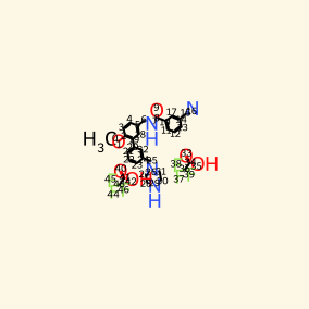 COc1ccc(CNC(=O)c2cccc(C#N)c2)cc1-c1cccc(CN2CCNCC2)c1.O=C(O)C(F)(F)F.O=C(O)C(F)(F)F